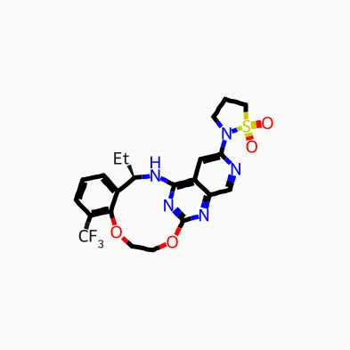 CC[C@H]1Nc2nc(nc3cnc(N4CCCS4(=O)=O)cc23)OCCOc2c1cccc2C(F)(F)F